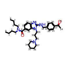 CCCCN(CCCC)C(=O)c1ccc2nc(NCc3ccc(C(C)=O)cc3)n(CCCN3CCCCC3)c2c1